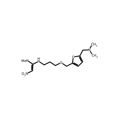 CNC(=C[N+](=O)[O-])NCCCOCc1ccc(CN(C)C)o1